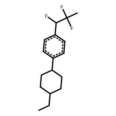 CCC1CCC(c2ccc(C(F)C(C)(F)F)cc2)CC1